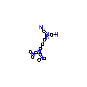 N#Cc1ccc(-c2cc(-c3ccc(-c4ccc(-c5ccc(-n6c7ccc(N(c8ccccc8)c8ccccc8)cc7c7cc(N(c8ccccc8)c8ccccc8)ccc76)cc5)cc4)cc3)nc(-c3ccc(C#N)cc3)n2)cc1